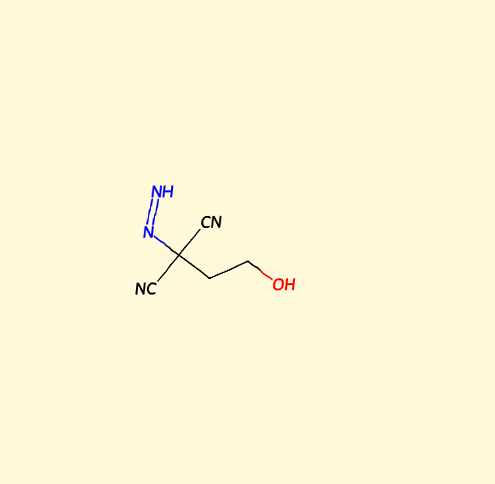 N#CC(C#N)(CCO)N=N